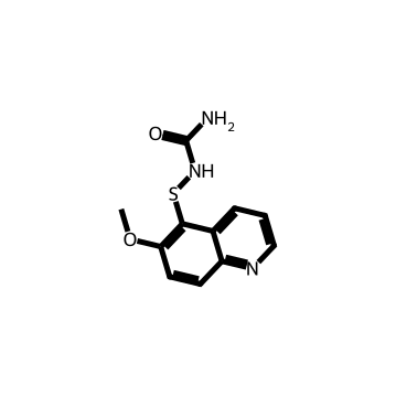 COc1ccc2ncccc2c1SNC(N)=O